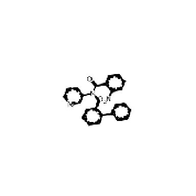 O=C(c1ccccc1[N+](=O)[O-])N(Cc1ccccc1-c1ccccc1)c1cccnc1